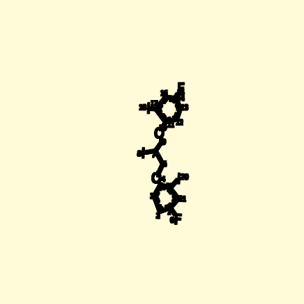 Fc1ccc(OCC(I)COc2ccc(F)cc2I)c(I)c1